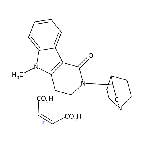 Cn1c2c(c3ccccc31)C(=O)N(C1CN3CCC1CC3)CC2.O=C(O)/C=C\C(=O)O